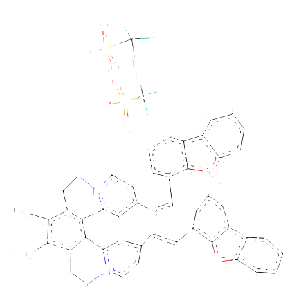 Cc1c(C)c2c(c3c1CC[n+]1ccc(C=Cc4cccc5c4oc4ccccc45)cc1-3)-c1cc(C=Cc3cccc4c3oc3ccccc34)cc[n+]1CC2.O=S(=O)([O-])C(F)(F)F.O=S(=O)([O-])C(F)(F)F